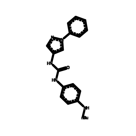 CCCCNc1ccc(NC(=O)Nc2cnn(-c3ccccc3)c2)cc1